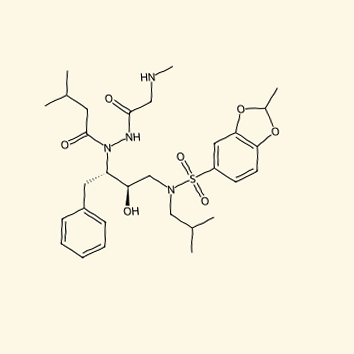 CNCC(=O)NN(C(=O)CC(C)C)[C@@H](Cc1ccccc1)[C@H](O)CN(CC(C)C)S(=O)(=O)c1ccc2c(c1)OC(C)O2